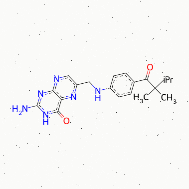 CC(C)C(C)(C)C(=O)c1ccc(NCc2cnc3nc(N)[nH]c(=O)c3n2)cc1